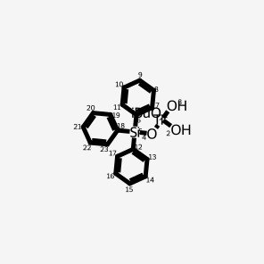 CC(C)C[O][Ti]([OH])([OH])[O][Si](c1ccccc1)(c1ccccc1)c1ccccc1